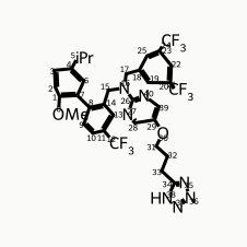 COc1ccc(C(C)C)cc1-c1ccc(C(F)(F)F)cc1CN(Cc1cc(C(F)(F)F)cc(C(F)(F)F)c1)c1ncc(OCCCc2nnn[nH]2)cn1